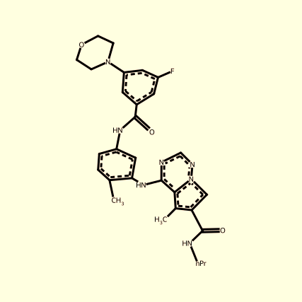 CCCNC(=O)c1cn2ncnc(Nc3cc(NC(=O)c4cc(F)cc(N5CCOCC5)c4)ccc3C)c2c1C